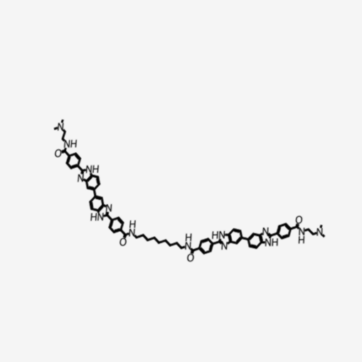 CN(C)CCNC(=O)c1ccc(-c2nc3cc(-c4ccc5[nH]c(-c6ccc(C(=O)NCCCCCCCCCNC(=O)c7ccc(-c8nc9cc(-c%10ccc%11[nH]c(-c%12ccc(C(=O)NCCN(C)C)cc%12)nc%11c%10)ccc9[nH]8)cc7)cc6)nc5c4)ccc3[nH]2)cc1